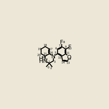 CC1(C)CN(c2cc(F)c(F)c3occc23)C2=CCCC[C@@H]2N1